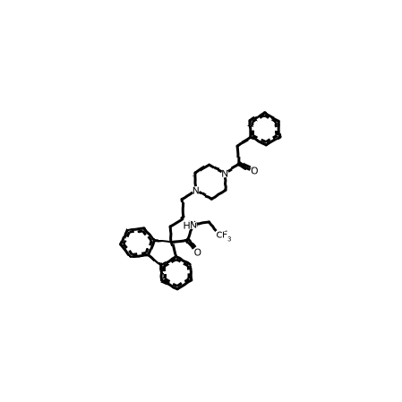 O=C(Cc1ccccc1)N1CCN(CCCC2(C(=O)NCC(F)(F)F)c3ccccc3-c3ccccc32)CC1